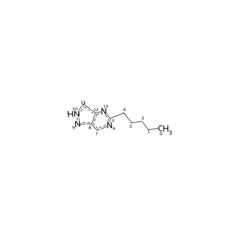 CCCCCc1ncc2n[nH]cc2n1